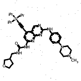 CC(C)[Si](C#Cc1cc(NC(=O)NCC2CCOC2)nc2nc(Nc3ccc(N4CCN(C)CC4)cc3)ncc12)(C(C)C)C(C)C